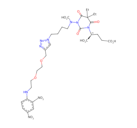 CCC1(CC)C(=O)N([C@@H](CCC(=O)O)C(=O)O)C(=O)N(N(CCCCn2cc(COCCOCCNc3ccc([N+](=O)[O-])cc3[N+](=O)[O-])nn2)C(=O)O)C1=O